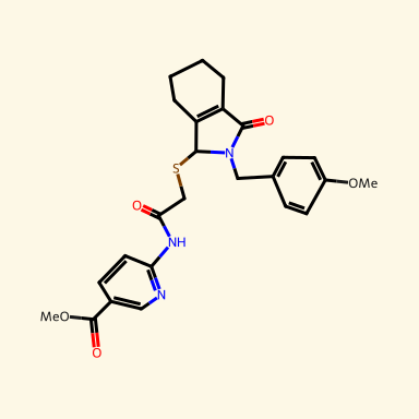 COC(=O)c1ccc(NC(=O)CSC2C3=C(CCCC3)C(=O)N2Cc2ccc(OC)cc2)nc1